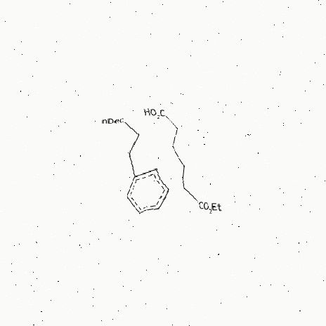 CCCCCCCCCCCCc1ccccc1.CCOC(=O)CCCCC(=O)O